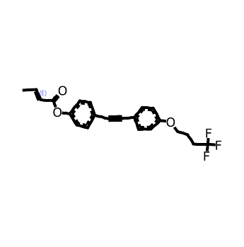 C/C=C/C(=O)Oc1ccc(C#Cc2ccc(OCCCC(F)(F)F)cc2)cc1